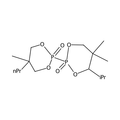 CCCC1(C)COP(=O)(P2(=O)OCC(C)(C)C(C(C)C)O2)OC1